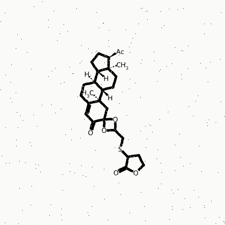 CC(=O)[C@@H]1CC[C@H]2[C@@H]3CCC4=CC(=O)C5(C[C@]4(C)[C@H]3CC[C@]12C)OC(CSC1CCOC1=O)O5